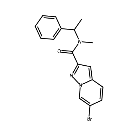 CC(c1ccccc1)N(C)C(=O)c1cc2ccc(Br)cn2n1